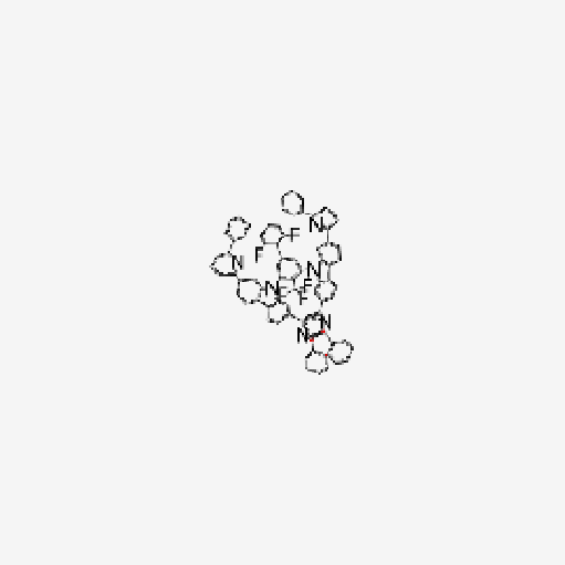 Fc1cccc(F)c1-c1cc(-n2c3cc(-c4cccc(-c5ccccc5)n4)ccc3c3ccc(-c4cccc(-c5ccccc5)n4)cc32)c(C(F)(F)F)c(-n2c3cc(-c4cccc(-c5ccccc5)n4)ccc3c3ccc(-c4cccc(-c5ccccc5)n4)cc32)c1